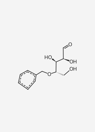 O=C[C@@H](O)[C@H](O)[C@H](CO)OCc1ccccc1